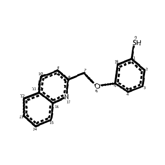 Sc1cccc(OCc2ccc3ccccc3n2)c1